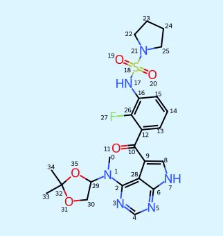 CN(c1ncnc2[nH]cc(C(=O)c3cccc(NS(=O)(=O)N4CCCC4)c3F)c12)C1COC(C)(C)O1